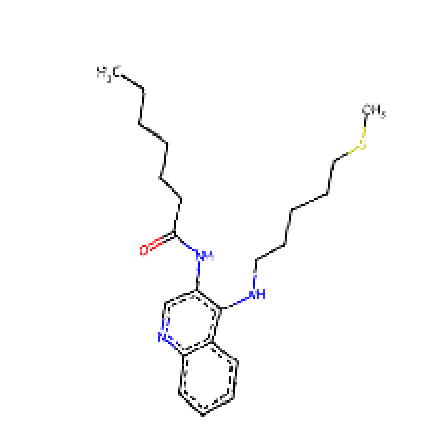 CCCCCCC(=O)Nc1cnc2ccccc2c1NCCCCCSC